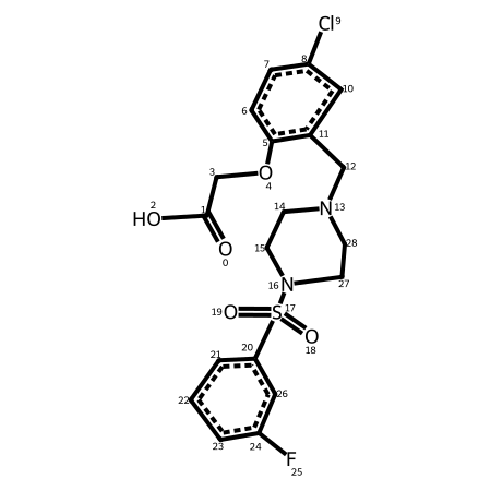 O=C(O)COc1ccc(Cl)cc1CN1CCN(S(=O)(=O)c2cccc(F)c2)CC1